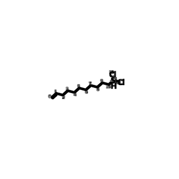 C=CCCCCCCCCC[SiH](Cl)Cl